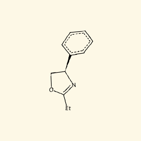 CCC1=N[C@H](c2ccccc2)CO1